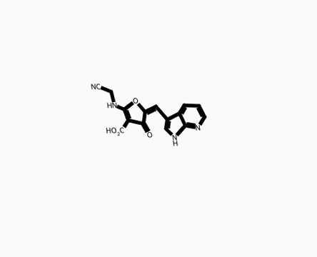 N#CCNC1=C(C(=O)O)C(=O)C(=Cc2c[nH]c3ncccc23)O1